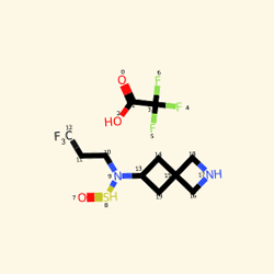 O=C(O)C(F)(F)F.O=[SH]N(CCC(F)(F)F)C1CC2(CNC2)C1